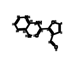 O=[C]c1ccoc1C(=O)Nc1ncccc1Br